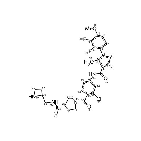 COc1ccc(-c2cnc(C(=O)Nc3ccc(C(=O)N4CCC(C(=O)NCC5CCN5)CC4)c(Cl)c3)n2C)c(F)c1F